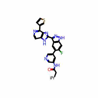 CC(C)CC(=O)Nc1cncc(-c2cc3c(-c4nc5c(-c6ccsc6)nccc5[nH]4)n[nH]c3cc2F)c1